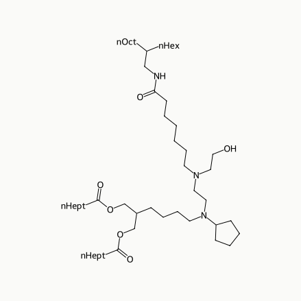 CCCCCCCCC(CCCCCC)CNC(=O)CCCCCCN(CCO)CCN(CCCCC(COC(=O)CCCCCCC)COC(=O)CCCCCCC)C1CCCC1